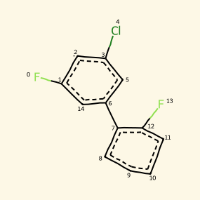 Fc1[c]c(Cl)cc(-c2ccccc2F)c1